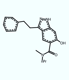 CCCN(C)C(=O)c1cc2c(CCc3ccccc3)n[nH]c2cc1O